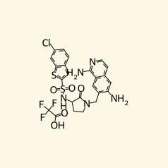 Nc1cc2ccnc(N)c2cc1CN1CCC(NS(=O)(=O)c2cc3ccc(Cl)cc3s2)C1=O.O=C(O)C(F)(F)F